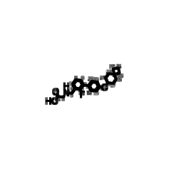 O=C(O)CNCc1cccc(-c2ccc(OC3CCC4(CCC4)CC3)cc2)c1F